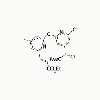 CCOC(=O)/C=C/c1cc(C)cc(Oc2cc(C(=O)OC)cc(Cl)n2)n1